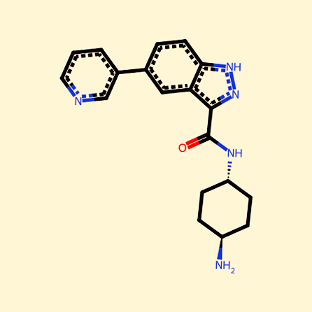 N[C@H]1CC[C@H](NC(=O)c2n[nH]c3ccc(-c4cccnc4)cc23)CC1